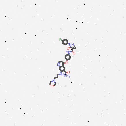 NC(=O)c1cc2c(Oc3ccc(NC(=O)C4(C(=O)Nc5ccc(F)cc5)CC4)cc3)ccnc2cc1NCCCN1CCOCC1